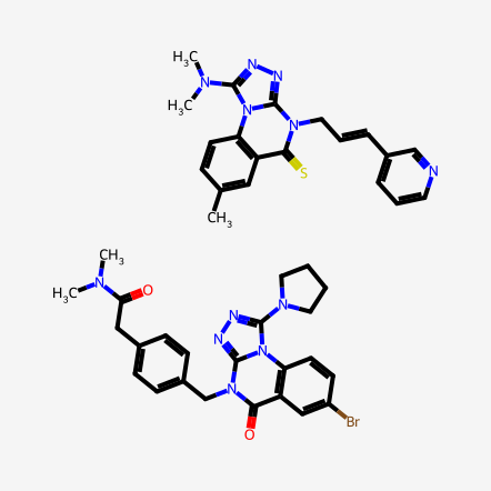 CN(C)C(=O)Cc1ccc(Cn2c(=O)c3cc(Br)ccc3n3c(N4CCCC4)nnc23)cc1.Cc1ccc2c(c1)c(=S)n(CC=Cc1cccnc1)c1nnc(N(C)C)n21